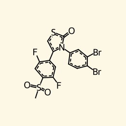 CS(=O)(=O)c1cc(F)c(-c2csc(=O)n2-c2ccc(Br)c(Br)c2)cc1F